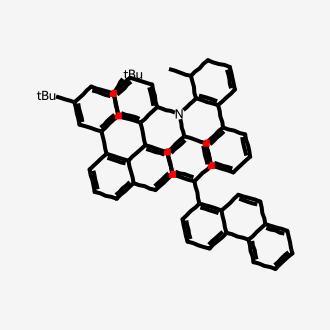 CC1CC=CC(c2ccccc2)=C1N(c1ccc(-c2cccc3c2ccc2ccccc23)cc1)c1ccccc1-c1cccc2cccc(-c3cc(C(C)(C)C)cc(C(C)(C)C)c3)c12